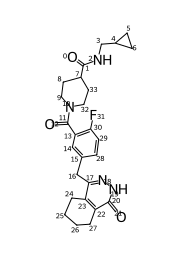 O=C(NCC1CC1)C1CCN(C(=O)c2cc(Cc3n[nH]c(=O)c4c3CCCC4)ccc2F)CC1